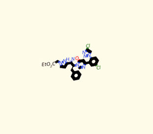 CCOC(=O)Cn1ccc([C@@H](N)[C@H](Cc2ccccc2)n2cnc(-c3cc(Cl)ccc3-n3cc(Cl)nn3)cc2=O)n1